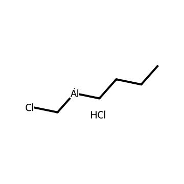 CCC[CH2][Al][CH2]Cl.Cl